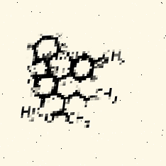 CCCC(C(C)=O)c1c(C)nc2sc3c(c2c1-c1ccc(C)cc1O)CCCC3